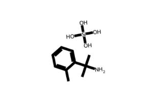 Cc1ccccc1C(C)(C)N.O[Si](O)(O)O